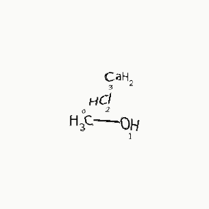 CO.Cl.[CaH2]